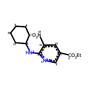 CCOC(=O)c1cnc(NC2CCCCC2)c([N+](=O)[O-])c1